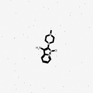 CN1CCN(c2c(N)c3cccc[n+]3n2Cl)CC1